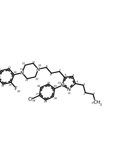 CCCCc1cc(CCCN2CCN(c3ccccc3F)CC2)n(-c2ccc(Cl)cc2)n1